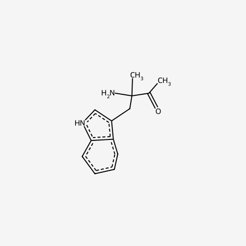 CC(=O)C(C)(N)Cc1c[nH]c2ccccc12